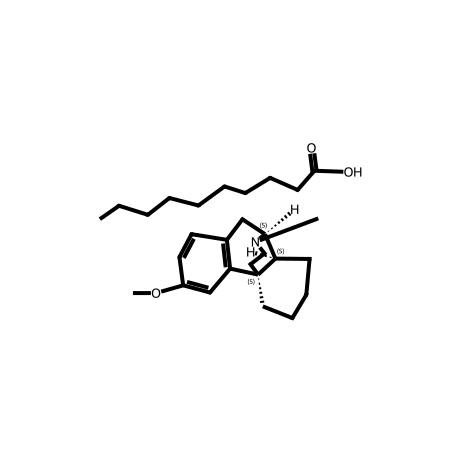 CCCCCCCCCC(=O)O.COc1ccc2c(c1)[C@]13CCCC[C@@H]1[C@H](C2)N(C)CC3